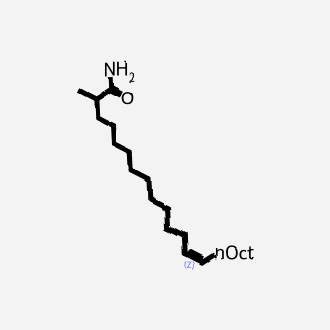 CCCCCCCC/C=C\CCCCCCCCCCC(C)C(N)=O